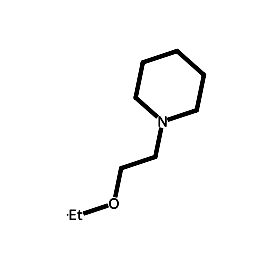 C[CH]OCCN1CCCCC1